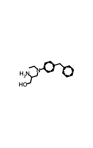 CCN(CC(N)CO)c1ccc(Cc2ccccc2)cc1